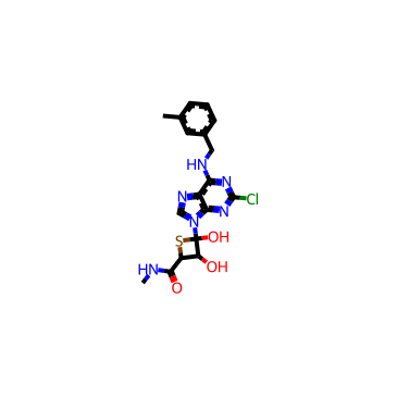 CNC(=O)C1SC(O)(n2cnc3c(NCc4cccc(C)c4)nc(Cl)nc32)C1O